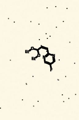 CCOC(/C=C\c1ncc(F)cn1)OCC